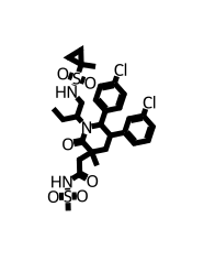 CCC(CNS(=O)(=O)C1(C)CC1)N1C(=O)C(C)(CC(=O)NS(C)(=O)=O)CC(c2cccc(Cl)c2)C1c1ccc(Cl)cc1